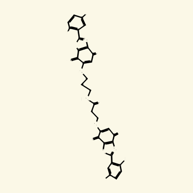 O=C(CCNC1=CC(=O)c2nc(-c3cc(F)ccc3F)oc2C1=O)NCCCNC1=CC(=O)c2nc(-c3cc(F)ccc3F)oc2C1=O